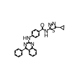 O=C(Nc1nnc(C2CC2)s1)c1ccc(Nc2nc(-c3ccccc3)c3ccccc3n2)cc1